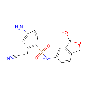 N#CCc1cc(N)ccc1S(=O)(=O)Nc1ccc2c(c1)B(O)OC2